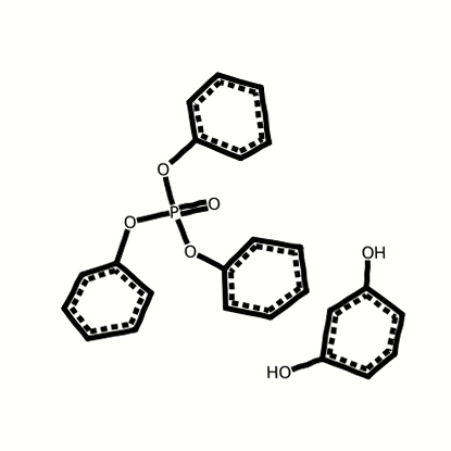 O=P(Oc1ccccc1)(Oc1ccccc1)Oc1ccccc1.Oc1cccc(O)c1